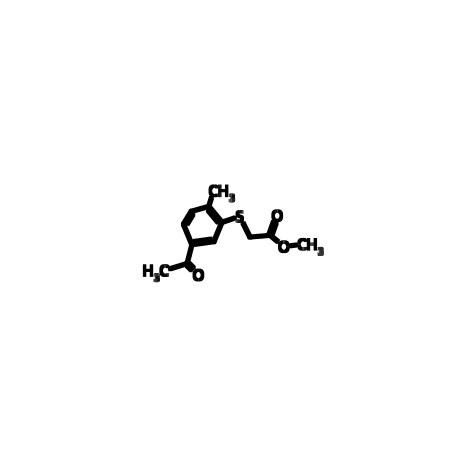 COC(=O)CSc1cc(C(C)=O)ccc1C